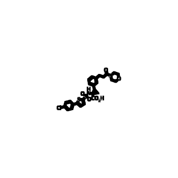 O=C(CCc1cccc(C2CC2(NS(=O)(=O)c2ccc(-c3ccc(Cl)cc3)s2)C(=O)O)c1)N1CCOCC1